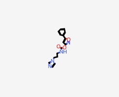 O=C(NCCCn1ccnc1)Oc1cc(-c2ccccc2)on1